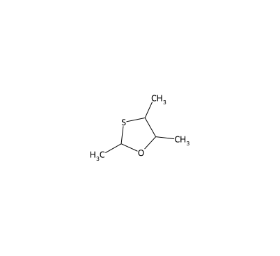 CC1OC(C)C(C)S1